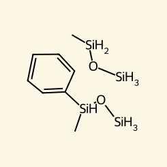 C[SiH2]O[SiH3].C[SiH](O[SiH3])c1ccccc1